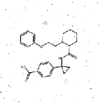 Cl.O=C(O)c1ccc(C2(NC(=O)[C@H]3CCCCN3CCOc3ccccc3)CC2)cc1